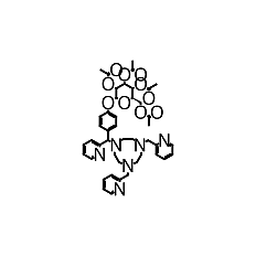 CC(=O)OC[C@H]1O[C@@H](Oc2ccc(C(c3ccccn3)N3CCN(Cc4ccccn4)CCN(Cc4ccccn4)CC3)cc2)[C@H](OC(C)=O)[C@@H](OC(C)=O)[C@H]1OC(C)=O